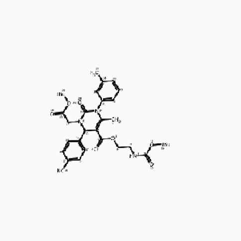 CC1=C(C(=O)OCCNC(=O)OC(C)(C)C)C(c2ccc(C#N)cc2)N(CC(=O)OC(C)(C)C)C(=O)N1c1cccc(C(F)(F)F)c1